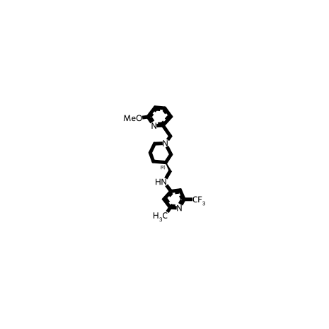 COc1cccc(CN2CCC[C@H](CNc3cc(C)nc(C(F)(F)F)c3)C2)n1